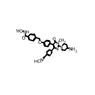 Cl.Cn1c(N2CCC(N)CC2)nc(-c2ccc(C#N)cc2)c(-c2ccc(OCc3ccc(C(=O)NO)cc3)cc2)c1=O